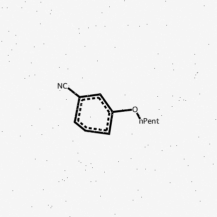 CCCCCOc1cccc(C#N)c1